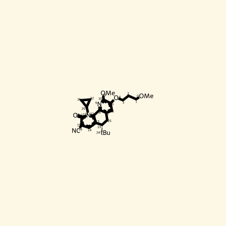 COCCCOc1cc2c(nc1OC)-c1c(cc(C#N)c(=O)n1C1CC1)[C@@H](C(C)(C)C)C2